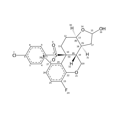 O=S(=O)(c1ccc(Cl)cc1)[C@@]12CC[C@H]3OC(O)C[C@H]3[C@@H]1COc1c(F)ccc(F)c12